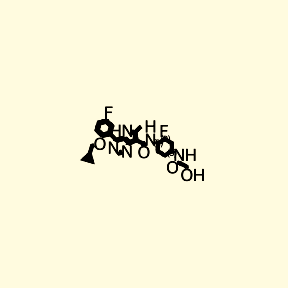 Cc1[nH]c2c(-c3cc(F)ccc3OCC3CC3)ncnc2c1C(=O)N[C@@H]1CC[C@H](NC(=O)CO)C[C@H]1F